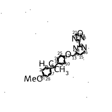 COc1ccc(C(C)(C)c2ccc(OCc3ccnc(-c4ncon4)n3)cc2)cc1